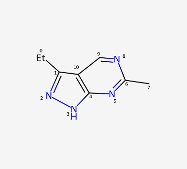 CCc1n[nH]c2nc(C)ncc12